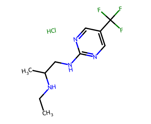 CCNC(C)CNc1ncc(C(F)(F)F)cn1.Cl